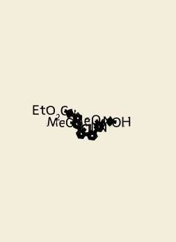 CCOC(=O)C1CN(C2CCc3cc(-c4cccc(-c5cccc(-c6cnc(CN7CC(O)C7)c(OC)n6)c5Cl)c4Cl)cc(OC)c32)C1